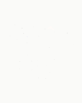 Cc1ccc(Oc2ccc3c(c2)c2cc([Si](c4ccccc4)(c4ccccc4)c4ccccc4)ccc2n3-c2ccccc2)cc1